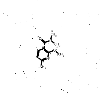 COc1nc(N)ccc1C(=O)N(C)C